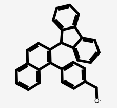 [O]Cc1ccc(-c2c(C3c4ccccc4-c4ccccc43)ccc3ccccc23)cc1